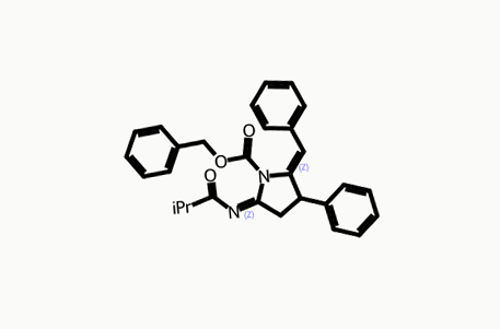 CC(C)C(=O)/N=C1/CC(c2ccccc2)/C(=C/c2ccccc2)N1C(=O)OCc1ccccc1